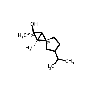 CC(C)C1CC[C@]2(C1)C1[C@]2(C)[C@@]1(C)O